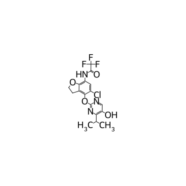 CC(C)c1nc(Oc2c(Cl)cc(NC(=O)C(F)(F)F)c3c2CCO3)ncc1O